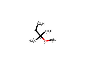 CC(C)(C)OC(CC(=O)O)(C(=O)O)C(=O)O